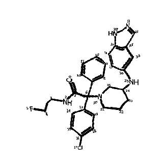 O=C(NCCF)C(c1ccccc1)(c1ccc(Cl)cc1)N1CCCC(Nc2ccc3[nH]ncc3c2)C1